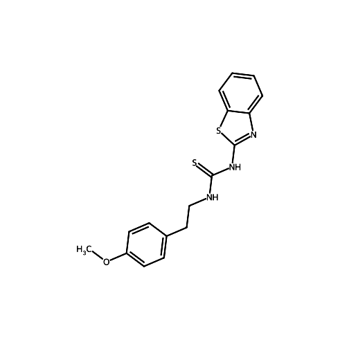 COc1ccc(CCNC(=S)Nc2nc3ccccc3s2)cc1